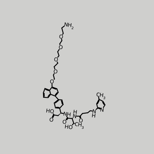 Cc1ccnc(NCCCC(=O)N[C@H](C(=O)N[C@@H](CC(=O)O)c2ccc(-c3ccc(OCCOCCOCCOCCOCCN)c4ccccc34)cc2)[C@@H](C)O)c1